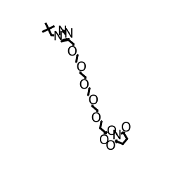 CC(C)(C)Cn1cc(COCCOCCOCCOCCOCCC(=O)ON2C(=O)CCC2=O)nn1